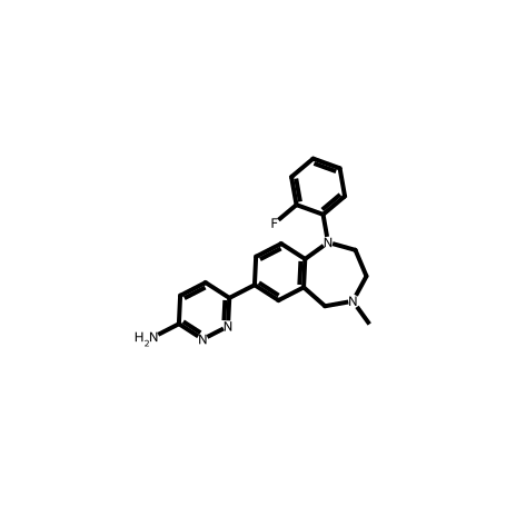 CN1CCN(c2ccccc2F)c2ccc(-c3ccc(N)nn3)cc2C1